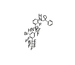 O=C(CNc1cccc(C(=O)Nc2c(Br)cc(C(F)(C(F)(F)F)C(F)(F)C(F)(F)F)cc2C(F)(F)F)c1F)c1ccccc1